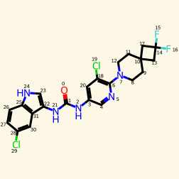 O=C(Nc1cnc(N2CCC3(CC2)CC(F)(F)C3)c(Cl)c1)Nc1c[nH]c2ccc(Cl)cc12